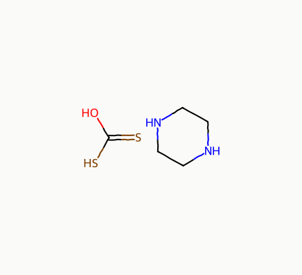 C1CNCCN1.OC(=S)S